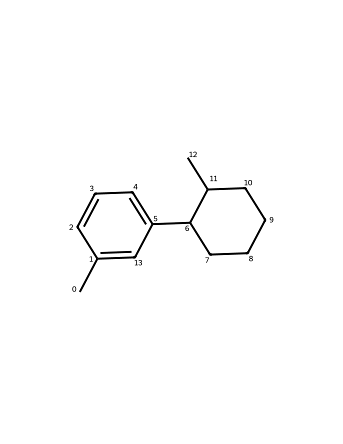 Cc1cccc(C2CCCCC2C)c1